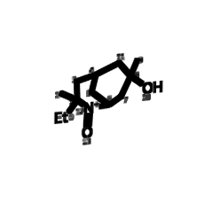 CCC1(C)CC2CC(CC(C)(O)C2)[N+]1=O